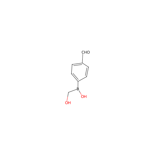 O=Cc1ccc(B(O)CO)cc1